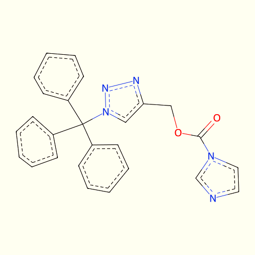 O=C(OCc1cn(C(c2ccccc2)(c2ccccc2)c2ccccc2)nn1)n1ccnc1